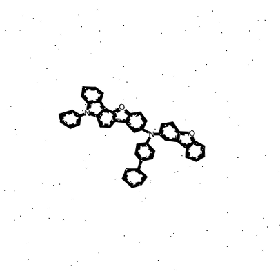 c1ccc(-c2ccc(N(c3ccc4oc5ccccc5c4c3)c3ccc4oc5c(ccc6c5c5ccccc5n6-c5ccccc5)c4c3)cc2)cc1